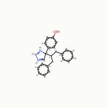 Oc1ccc(C2(C(Cc3ccccc3)Cc3ccccc3)C=NN=N2)cc1